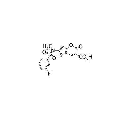 CN(c1cc2oc(=O)c(C(=O)O)cc2s1)S(=O)(=O)c1cccc(F)c1